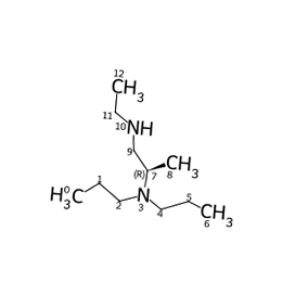 CCCN(CCC)[C@H](C)CNCC